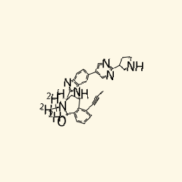 [2H]C([2H])([2H])N1C(=O)c2cccc(C#CC)c2[C@H]2C[C@@H]1c1nc3ccc(-c4cnc(C5CCNC5)nc4)cc3n12